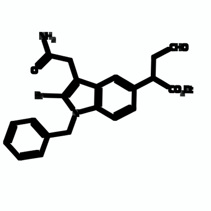 CCOC(=O)C(CC=O)c1ccc2c(c1)c(CC(N)=O)c(Br)n2Cc1ccccc1